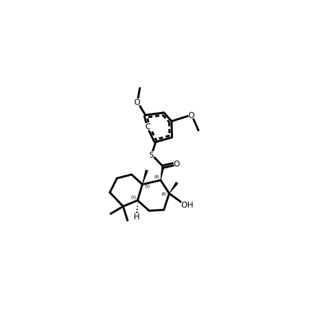 COc1cc(OC)cc(SC(=O)[C@@H]2[C@@]3(C)CCCC(C)(C)[C@@H]3CC[C@@]2(C)O)c1